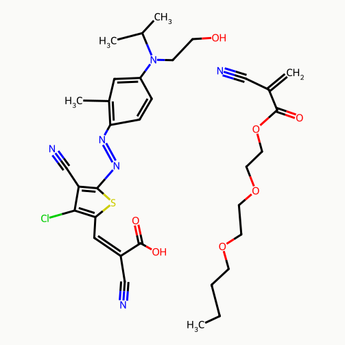 C=C(C#N)C(=O)OCCOCCOCCCC.Cc1cc(N(CCO)C(C)C)ccc1N=Nc1sc(C=C(C#N)C(=O)O)c(Cl)c1C#N